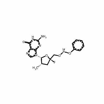 C[C@H]1C[C@@](F)(COPOc2ccccc2)O[C@H]1n1cnc2c(=O)[nH]c(N)nc21